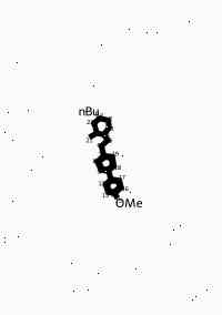 CCCCC1CCC(CCc2ccc(-c3ccc(OC)cc3)cc2)C(C)C1